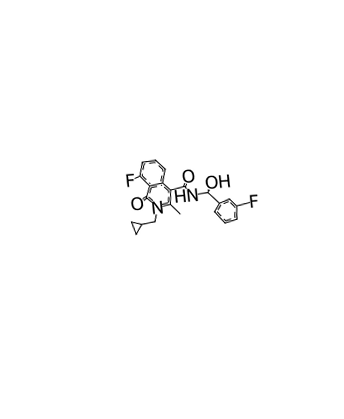 Cc1c(C(=O)N[C@@H](O)c2cccc(F)c2)c2cccc(F)c2c(=O)n1CC1CC1